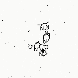 COc1ccc(C(=O)N2CC3CC(C2)N(c2nc(C)cc(C)n2)C3)c(-n2nccn2)n1